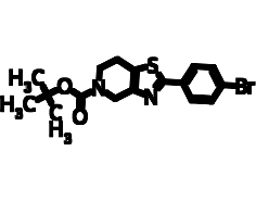 CC(C)(C)OC(=O)N1CCc2sc(-c3ccc(Br)cc3)nc2C1